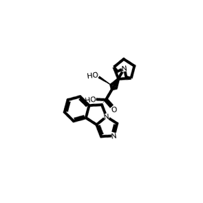 O=C(O)N1CC2CCC(C1)C21CC([C@H]2c3ccccc3-c3cncn32)[C@H]1O